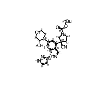 C[C@@H]1COCCN1c1cc(C2(C#N)CCN(C(=O)OC(C)(C)C)C2)c2cnn(-c3cc[nH]n3)c2n1